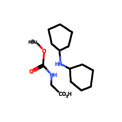 C1CCC(NC2CCCCC2)CC1.CCCCOC(=O)NCC(=O)O